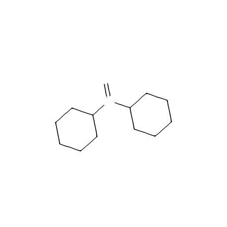 [S]=[Sn]([CH]1CCCCC1)[CH]1CCCCC1